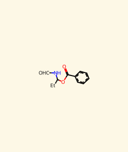 CCC(NC=O)OC(=O)c1ccccc1